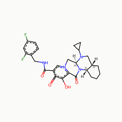 O=C(NCc1ccc(F)cc1F)c1cn2c(c(O)c1=O)C(=O)N1[C@H]3CCCC[C@H]3CN(C3CC3)[C@@H]1C2